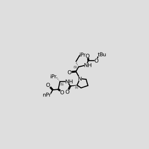 CCCC(=O)C(=O)[C@@H](NC(=O)[C@@H]1CCCN1C(=O)[C@H](CC(C)C)NC(=O)OC(C)(C)C)C(C)C